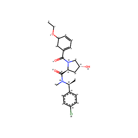 CCOC1C=CC=C(C(=O)N2C[C@H](O)C[C@H]2C(=O)N(C)[C@@H](C)c2ccc(Cl)cc2)C1